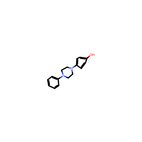 Oc1ccc(N2CCN(c3ccccc3)CC2)cc1